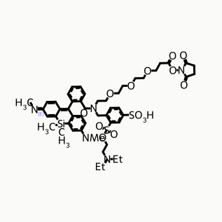 CCN(CC)CCOS(=O)(=O)c1cc(S(=O)(=O)O)ccc1CN(CCOCCOCCOCCC(=O)ON1C(=O)CCC1=O)C(=O)c1ccccc1C1=C2C=C/C(=N\C)C=C2[Si](C)(C)c2cc(NC)ccc21